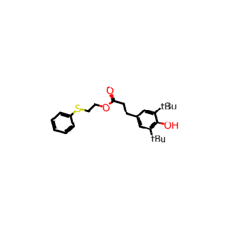 CC(C)(C)c1cc(CCC(=O)OCCSc2ccccc2)cc(C(C)(C)C)c1O